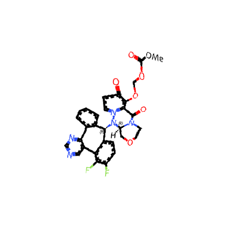 COC(=O)OCOc1c2n(ccc1=O)N([C@@H]1c3ccccc3-c3ncncc3-c3c1ccc(F)c3F)[C@@H]1COCCN1C2=O